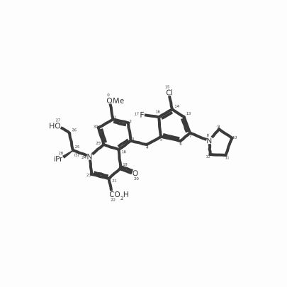 COc1cc(Cc2cc(N3CCCC3)cc(Cl)c2F)c2c(=O)c(C(=O)O)cn([C@H](CO)C(C)C)c2c1